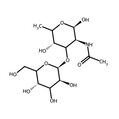 CC(=O)N[C@H]1C(O[C@@H]2OC(CO)[C@@H](O)C(O)[C@@H]2O)[C@H](O)C(C)O[C@H]1O